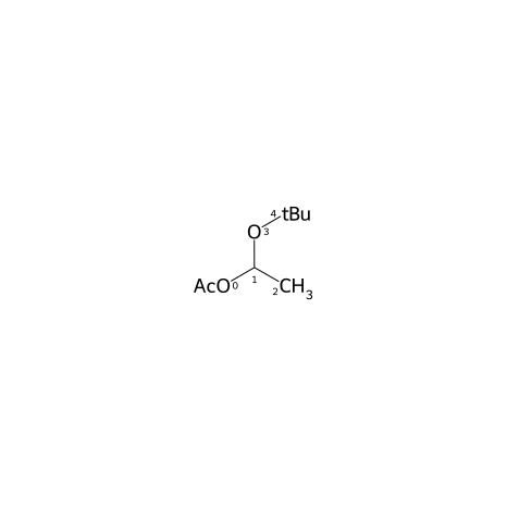 CC(=O)OC(C)OC(C)(C)C